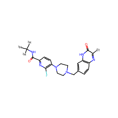 [2H]C([2H])([2H])NC(=O)c1ccc(N2CCN(Cc3ccc4nc(CC)c(=O)[nH]c4c3)CC2)c(F)n1